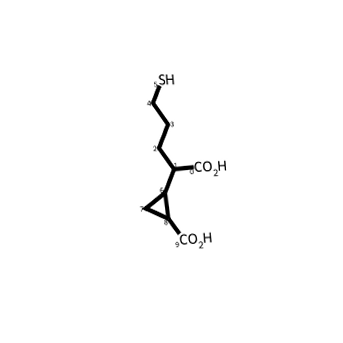 O=C(O)C(CCCS)C1CC1C(=O)O